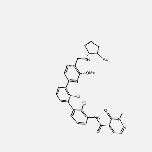 COc1nc(-c2cccc(-c3cccc(NC(=O)c4ccnn(C)c4=O)c3Cl)c2Cl)ccc1CN[C@@H]1CCCC1C(C)=O